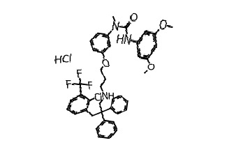 COc1cc(NC(=O)N(C)c2cccc(OCCCNCC(Cc3cccc(C(F)(F)F)c3Cl)(c3ccccc3)c3ccccc3)c2)cc(OC)c1.Cl